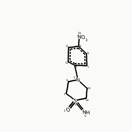 N=S1(=O)CCN(c2ccc([N+](=O)[O-])cc2)CC1